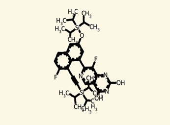 CC(C)[Si](C#Cc1c(F)ccc2cc(O[Si](C(C)C)(C(C)C)C(C)C)cc(-c3ncc4c(O)nc(O)nc4c3F)c12)(C(C)C)C(C)C